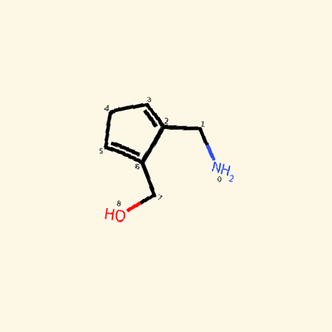 NCC1=CCC=C1CO